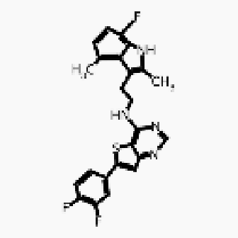 Cc1[nH]c2c(F)ccc(C)c2c1CCNc1ncnc2cc(-c3ccc(F)c(F)c3)sc12